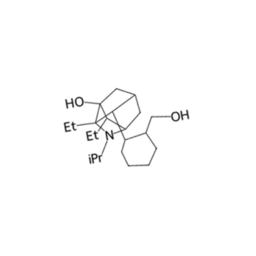 CCC1C2CC3CC1(O)C(CC)(C3C1CCCCC1CO)N2C(C)C